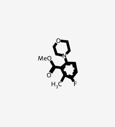 COC(=O)c1c(N2CCOCC2)ccc(F)c1C